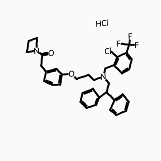 Cl.O=C(Cc1cccc(OCCCN(Cc2cccc(C(F)(F)F)c2Cl)CC(c2ccccc2)c2ccccc2)c1)N1CCC1